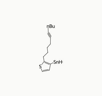 CCCCC#CCCCCc1scc[c]1[SnH]